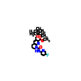 COC(OC)c1nc2c(cc1CO[Si](C)(C)C(C)(C)C)CCCN2C(=O)Nc1ccc(F)cn1